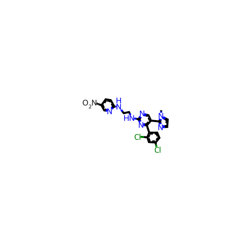 Cn1ccnc1-c1cnc(NCCNc2ccc([N+](=O)[O-])cn2)nc1-c1ccc(Cl)cc1Cl